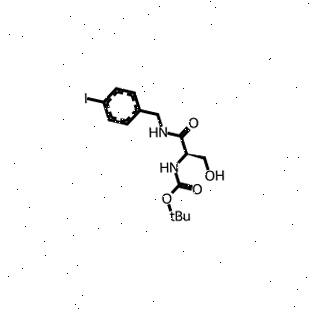 CC(C)(C)OC(=O)N[C@H](CO)C(=O)NCc1ccc(I)cc1